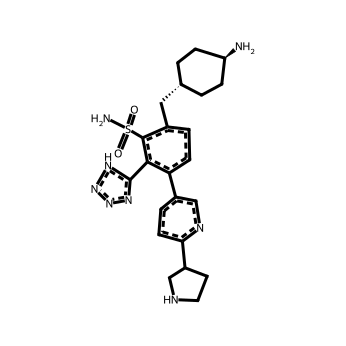 NS(=O)(=O)c1c(C[C@H]2CC[C@H](N)CC2)ccc(-c2ccc(C3CCNC3)nc2)c1-c1nnn[nH]1